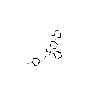 COc1ccccc1C(NC(=O)Nc1ccc(Cl)cc1)(C(N)=O)N1CCC(N2CCN(C)CC2=O)CC1